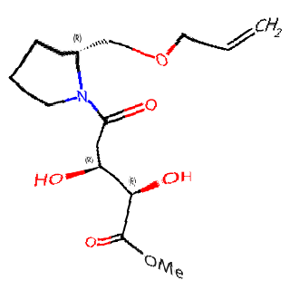 C=CCOC[C@H]1CCCN1C(=O)[C@H](O)[C@@H](O)C(=O)OC